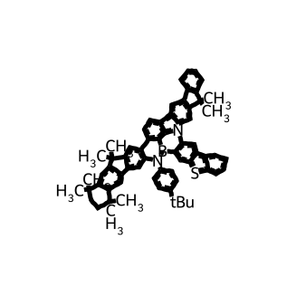 CC(C)(C)c1ccc(N2B3c4cc5sc6ccccc6c5cc4-n4c5cc6c(cc5c5ccc(c3c54)-c3cc4c(cc32)-c2cc3c(cc2C4(C)C)C(C)(C)CCC3(C)C)-c2ccccc2C6(C)C)cc1